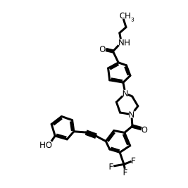 CCCNC(=O)c1ccc(N2CCN(C(=O)c3cc(C#Cc4cccc(O)c4)cc(C(F)(F)F)c3)CC2)cc1